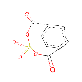 O=C1OS(=O)(=O)OC(=O)c2ccc1cc2